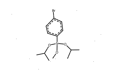 CO[Si](OC(C)C)(OC(C)C)c1ccc(Br)cc1